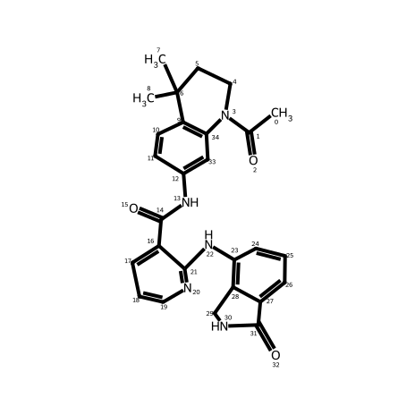 CC(=O)N1CCC(C)(C)c2ccc(NC(=O)c3cccnc3Nc3cccc4c3CNC4=O)cc21